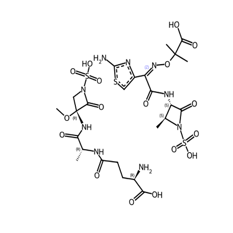 CO[C@]1(NC(=O)[C@@H](C)NC(=O)CC[C@@H](N)C(=O)O)CN(S(=O)(=O)O)C1=O.C[C@H]1[C@H](NC(=O)/C(=N\OC(C)(C)C(=O)O)c2csc(N)n2)C(=O)N1S(=O)(=O)O